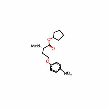 CN[C@@H](CCOc1ccc([N+](=O)[O-])cc1)C(=O)OC1CCCC1